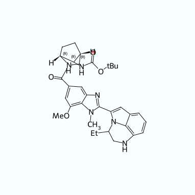 CCC1CNc2cccc3cc(-c4nc5cc(C(=O)N6C[C@H]7CC[C@@H]6[C@@H]7NC(=O)OC(C)(C)C)cc(OC)c5n4C)n1c23